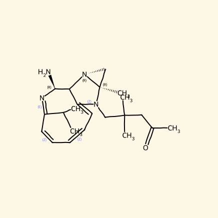 CC(=O)CC(C)(C)CN1\C2=C/C=C\C=C/C(C(C)C)=N/[C@@H](N)C2[N@]2C[C@@]12C